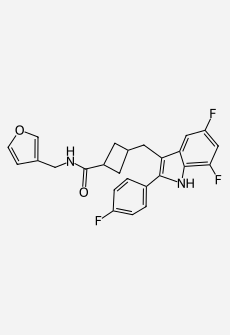 O=C(NCc1ccoc1)C1CC(Cc2c(-c3ccc(F)cc3)[nH]c3c(F)cc(F)cc23)C1